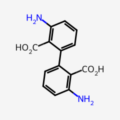 Nc1cccc(-c2cccc(N)c2C(=O)O)c1C(=O)O